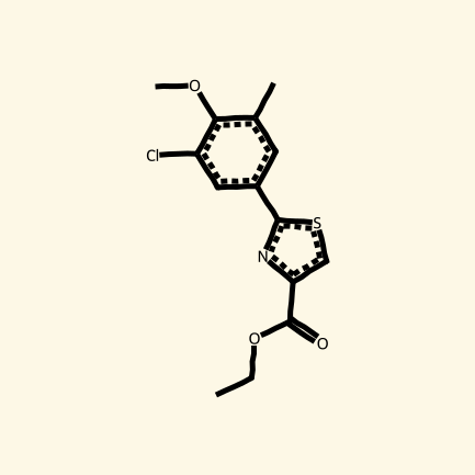 CCOC(=O)c1csc(-c2cc(C)c(OC)c(Cl)c2)n1